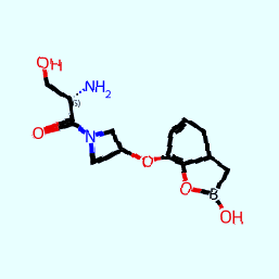 N[C@@H](CO)C(=O)N1CC(OC2=C3OB(O)CC3CC=C2)C1